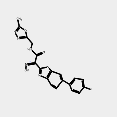 Cc1nnc(CNC(=O)/C(=N/O)c2nc3ccc(-c4ccc(F)cc4)cc3s2)o1